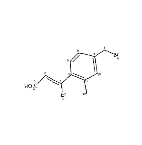 CC/C(=C\C(=O)O)c1ccc(CBr)cc1C